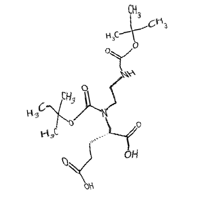 CC(C)(C)OC(=O)NCCN(C(=O)OC(C)(C)C)[C@@H](CCC(=O)O)C(=O)O